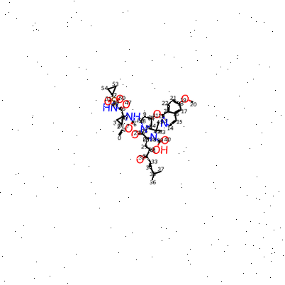 C=C[C@@H]1C[C@]1(NC(=O)[C@@H]1C[C@@H](Oc2nccc3cc(OC)ccc23)CN1C(=O)[C@H](CCC(=O)C=CC(C)C)N(C(=O)O)C(C)(C)C)C(=O)NS(=O)(=O)C1CC1